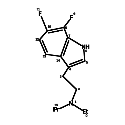 CCN(CCc1c[nH]c2c(F)c(F)ccc12)C(C)C